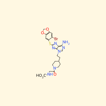 Nc1ncn(CCC2CCN(C(=O)CNC(=O)O)CC2)c2nc(Sc3cc4c(cc3Br)OCO4)nc1-2